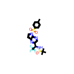 Cc1ccc(S(=O)(=O)n2ccc3nc(C(N[S+]([O-])C(C)(C)C)C(F)(F)F)cnc32)cc1